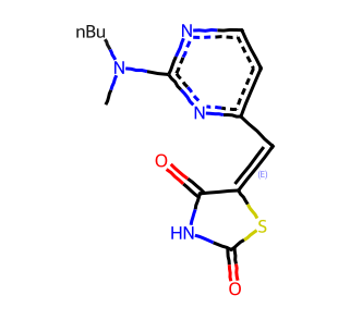 CCCCN(C)c1nccc(/C=C2/SC(=O)NC2=O)n1